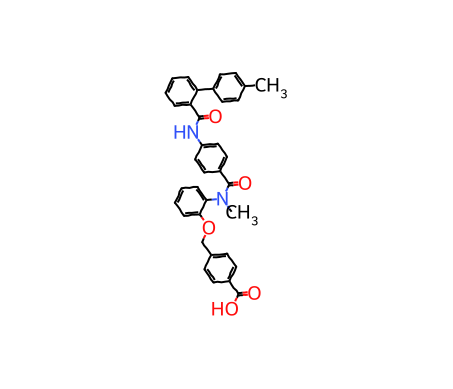 Cc1ccc(-c2ccccc2C(=O)Nc2ccc(C(=O)N(C)c3ccccc3OCc3ccc(C(=O)O)cc3)cc2)cc1